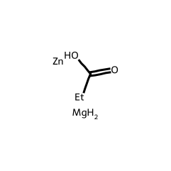 CCC(=O)O.[MgH2].[Zn]